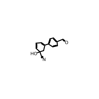 N#CC1(O)C=CC=C(c2ccc(C=O)cc2)C1